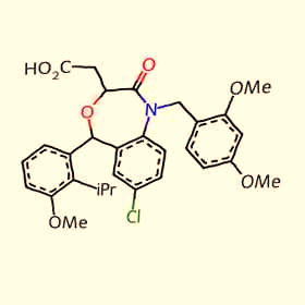 COc1ccc(CN2C(=O)C(CC(=O)O)OC(c3cccc(OC)c3C(C)C)c3cc(Cl)ccc32)c(OC)c1